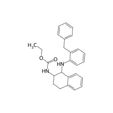 CCOC(=O)NC1CCc2ccccc2C1Nc1ccccc1Cc1ccccc1